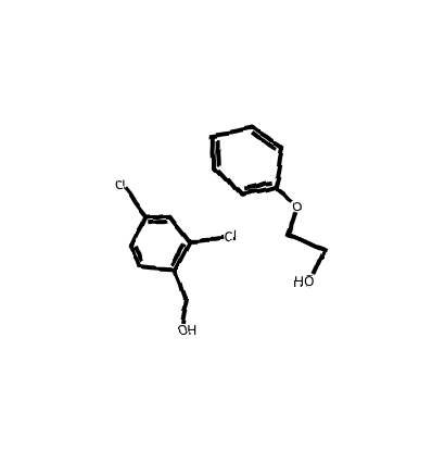 OCCOc1ccccc1.OCc1ccc(Cl)cc1Cl